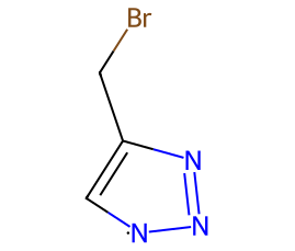 BrCC1=C[N]N=N1